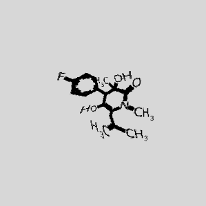 CC(C)C1=C(O)C(c2ccc(F)cc2)C(C)(O)C(=O)N1C